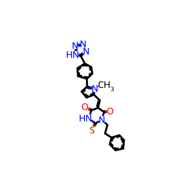 Cn1c(/C=C2\C(=O)NC(=S)N(CCc3ccccc3)C2=O)ccc1-c1ccc(-c2nnn[nH]2)cc1